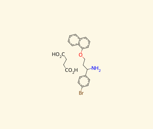 NC(CCOc1cccc2ccccc12)c1ccc(Br)cc1.O=C(O)CCC(=O)O